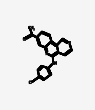 CC(=O)c1ccc2c(c1)nc(Nc1ccc(Cl)cc1)c1ccncc12